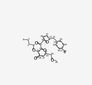 CCCCOc1c(C(=O)c2ccc(Cc3ccc(F)cc3)o2)oc(COC)cc1=O